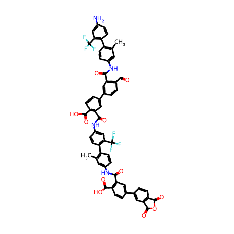 Cc1cc(NC(=O)c2cc(-c3ccc(C(=O)O)c(C(=O)Nc4ccc(-c5ccc(NC(=O)c6cc(-c7ccc8c(c7)C(=O)OC8=O)ccc6C(=O)O)cc5C)c(C(F)(F)F)c4)c3)ccc2C=O)ccc1-c1ccc(N)cc1C(F)(F)F